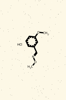 CON=Cc1cc[c]c(OC)c1.Cl